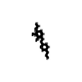 CCCC1=COC(CCc2ccc(OCC)c(F)c2F)CC1